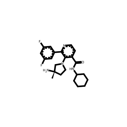 C[C@]1(N)CCN(c2c(C(=O)NC3CCCCC3)ccnc2-c2cc(F)cc(F)c2)C1